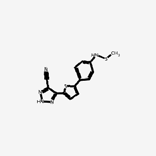 CSNc1ccc(-c2ccc(-c3n[nH]nc3C#N)s2)cc1